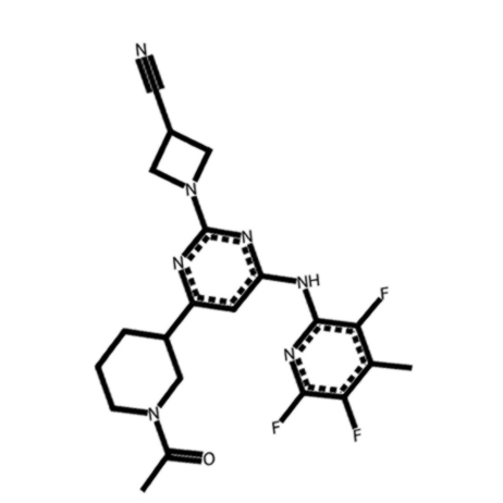 CC(=O)N1CCCC(c2cc(Nc3nc(F)c(F)c(C)c3F)nc(N3CC(C#N)C3)n2)C1